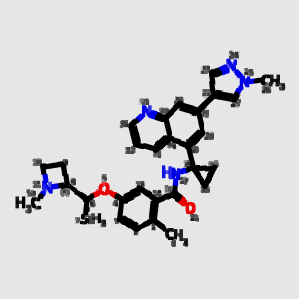 Cc1ccc(OC([SiH3])[C@@H]2CCN2C)cc1C(=O)NC1(c2cc(-c3cnn(C)c3)cc3ncccc23)CC1